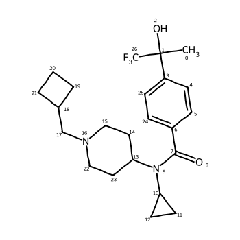 CC(O)(c1ccc(C(=O)N(C2CC2)C2CCN(CC3CCC3)CC2)cc1)C(F)(F)F